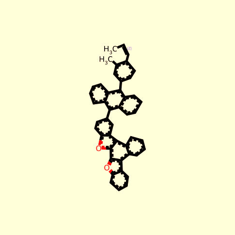 C/C=C\c1ccc(-c2c3ccccc3c(-c3ccc4oc5c6oc7ccccc7c6c6ccccc6c5c4c3)c3ccccc23)cc1C